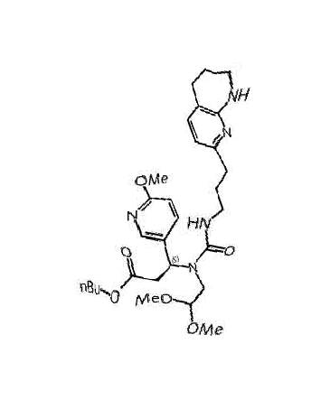 CCCCOC(=O)C[C@@H](c1ccc(OC)nc1)N(CC(OC)OC)C(=O)NCCCc1ccc2c(n1)NCCC2